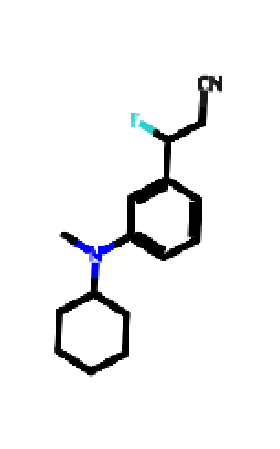 CN(c1cccc(C(F)CC#N)c1)C1CCCCC1